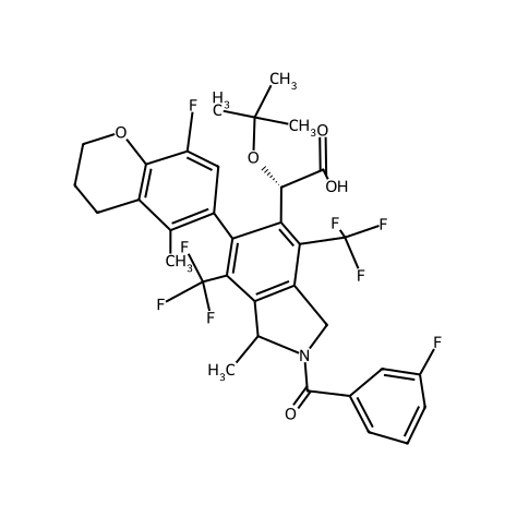 Cc1c(-c2c([C@H](OC(C)(C)C)C(=O)O)c(C(F)(F)F)c3c(c2C(F)(F)F)C(C)N(C(=O)c2cccc(F)c2)C3)cc(F)c2c1CCCO2